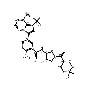 Cc1ncc(-c2cc(C(F)(F)F)c3c(N)ncnn23)cc1C(=O)NC1CN(C(=O)C2CCC(F)(F)CC2)C[C@@H]1F